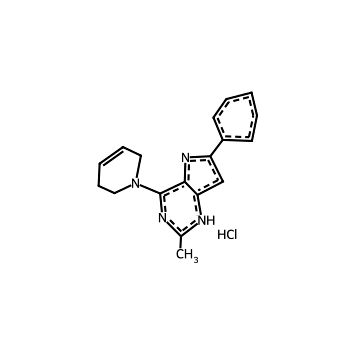 Cc1nc(N2CC=CCC2)c2nc(-c3ccccc3)cc-2[nH]1.Cl